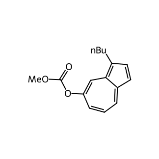 CCCCc1ccc2cccc(OC(=O)OC)cc1-2